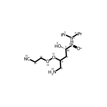 CC(C)N(C(C)C)[PH](=O)[C@@H](O)CC(CN)OOCCC#N